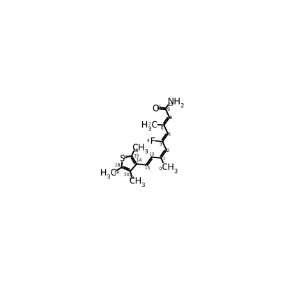 CC(=C/C(F)=C/C(C)=C/C(N)=O)/C=C/c1c(C)sc(C)c1C